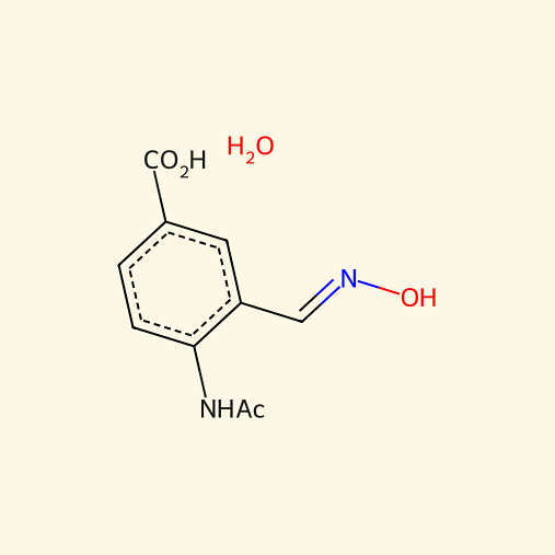 CC(=O)Nc1ccc(C(=O)O)cc1C=NO.O